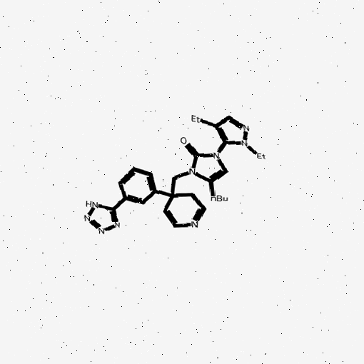 CCCCc1cn(-c2c(CC)cnn2CC)c(=O)n1CC1(c2cccc(-c3nnn[nH]3)c2)C=CN=CC1